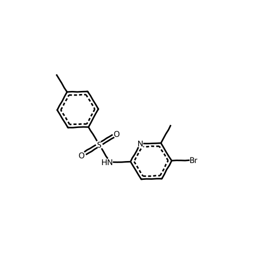 Cc1ccc(S(=O)(=O)Nc2ccc(Br)c(C)n2)cc1